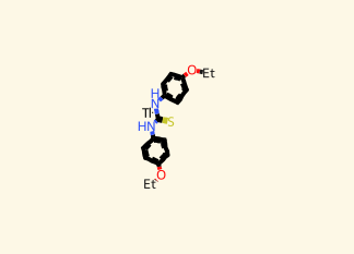 CCOc1ccc(NC(=S)Nc2ccc(OCC)cc2)cc1.[Tl]